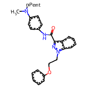 CCCCCN(C)c1ccc(NC(=O)c2nn(CCOc3ccccc3)c3ccccc23)cc1